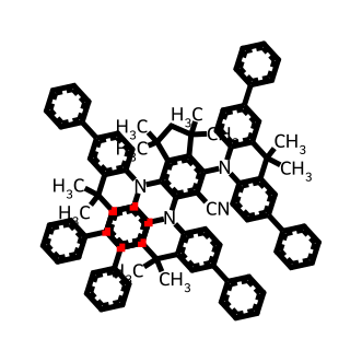 CC1(C)CC(C)(C)c2c(N3c4ccc(-c5ccccc5)cc4C(C)(C)c4cc(-c5ccccc5)ccc43)c(N3c4ccc(-c5ccccc5)cc4C(C)(C)c4cc(-c5ccccc5)ccc43)c(C#N)c(N3c4ccc(-c5ccccc5)cc4C(C)(C)c4cc(-c5ccccc5)ccc43)c21